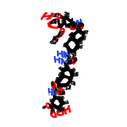 COC(=O)c1cc(NS(=O)(=O)c2ccc3ccc(NC(=O)Nc4ccc5ccc(S(=O)(=O)Nc6ccc(O)c(C(=O)OC)c6)cc5c4)cc3c2)ccc1O